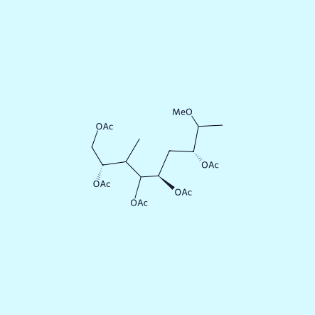 COC(C)[C@@H](C[C@@H](OC(C)=O)C(OC(C)=O)C(C)[C@@H](COC(C)=O)OC(C)=O)OC(C)=O